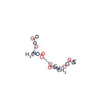 CN(CCCOc1ccc(C(=O)c2ccccc2)cc1)c1ccc(C(=O)OCCCCCCOC(=O)c2ccc(N(C)CCCOc3ccc(C(=O)c4ccccc4)cc3)cc2)cc1